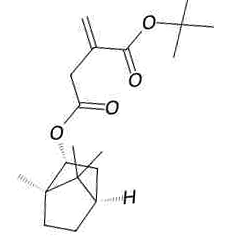 C=C(CC(=O)O[C@@H]1C[C@H]2CC[C@]1(C)C2(C)C)C(=O)OC(C)(C)C